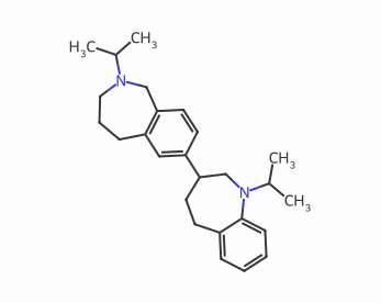 CC(C)N1CCCc2cc(C3CCc4ccccc4N(C(C)C)C3)ccc2C1